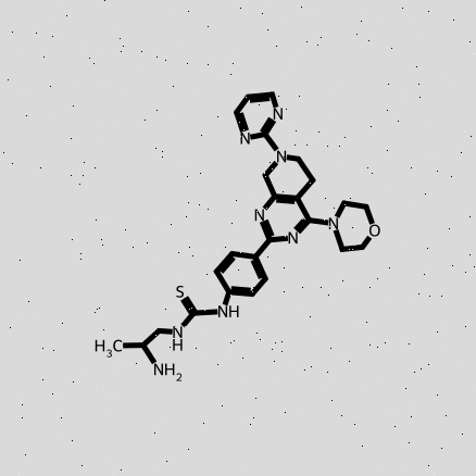 CC(N)CNC(=S)Nc1ccc(-c2nc3c(c(N4CCOCC4)n2)CCN(c2ncccn2)C3)cc1